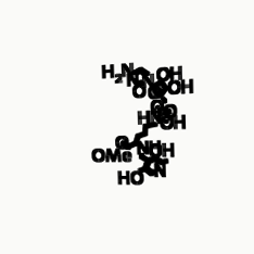 COC(=O)C(CCCCNP(=O)(O)OC[C@H]1O[C@@H](n2ccc(N)nc2=O)C(O)C1O)NCc1c(CO)cnc(C)c1O